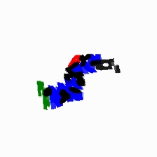 Cc1cnc(C(F)(F)F)nc1N1CC2(CCN(c3cnc4cnn(CC(F)F)c4n3)CC2)CC1=O